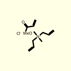 C=CC(=O)OC.C=CC[N+](C)(C)CC=C.[Cl-]